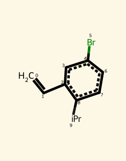 C=[C]c1cc(Br)ccc1C(C)C